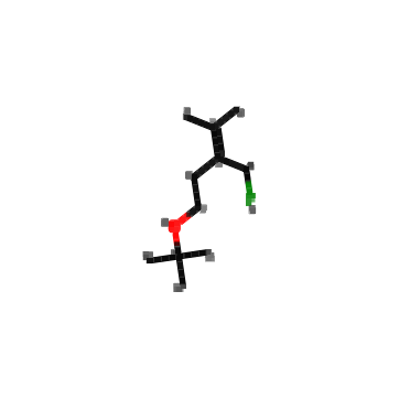 CC(C)=C(CF)CCOC(C)(C)C